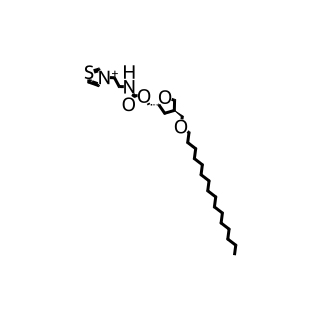 CCCCCCCCCCCCCCCCOC[C@@H]1CO[C@@H](COC(=O)NCC[n+]2ccsc2)C1